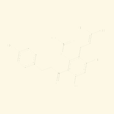 CC(=O)Oc1c(CC=C(C)C)c(O)cc(O)c1C(=O)CCc1ccc(O)cc1